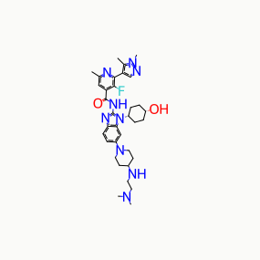 Cc1cc(C(=O)Nc2nc3ccc(N4CCC(NCCN(C)C)CC4)cc3n2[C@H]2CC[C@@H](O)CC2)c(F)c(-c2cnn(C)c2C)n1